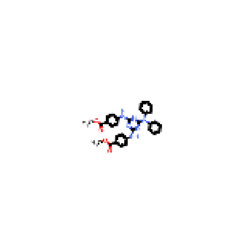 COC(=O)c1ccc(Nc2nc(Nc3ccc(C(=O)OC)cc3)nc(N(c3ccccc3)c3ccccc3)n2)cc1